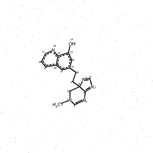 CN1C=NC2=NC=NC2(CCc2cc(O)c3ncccc3c2)C1